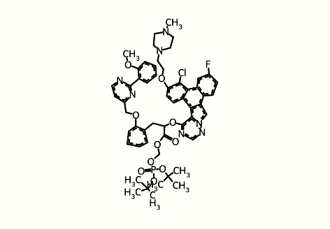 COc1ccccc1-c1nccc(COc2ccccc2CC(Oc2ncnn3cc4c5ccc(F)cc5c5c(Cl)c(OCCN6CCN(C)CC6)ccc5c4c23)C(=O)OCOP(=O)(OC(C)(C)C)OC(C)(C)C)n1